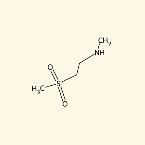 [CH2]NCCS(C)(=O)=O